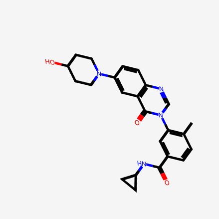 Cc1ccc(C(=O)NC2CC2)cc1-n1cnc2ccc(N3CCC(O)CC3)cc2c1=O